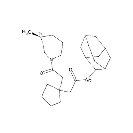 C[C@H]1CCCN(C(=O)CC2(CC(=O)NC3C4CC5CC(C4)CC3C5)CCCC2)C1